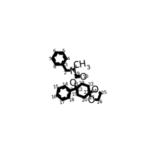 CN(Cc1ccccc1)C(=O)OC1(c2ccccc2)CCC2(CC1)OCCO2